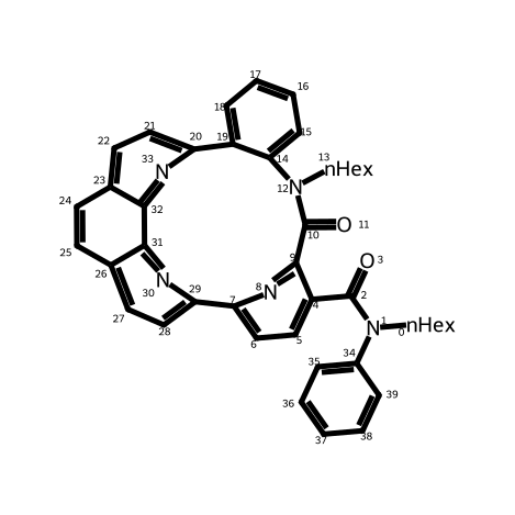 CCCCCCN(C(=O)c1ccc2nc1c(=O)n(CCCCCC)c1ccccc1c1ccc3ccc4ccc2nc4c3n1)c1ccccc1